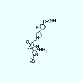 Cn1c(=O)n(CCN2CCN(c3ccc(OC4CNC4)cc3F)CC2)c2nc(N)n3nc(-c4ccco4)cc3c21